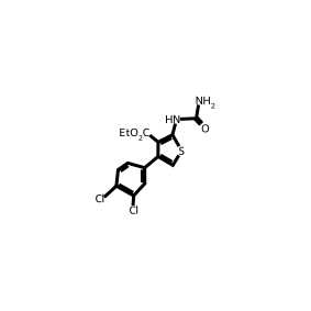 CCOC(=O)c1c(-c2ccc(Cl)c(Cl)c2)csc1NC(N)=O